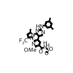 COc1ncc(-c2cnc(Nc3cc(C)cc(C)c3)nc2-n2nc(C(F)(F)F)cc2C)cc1C(=O)N[SH](=O)=O